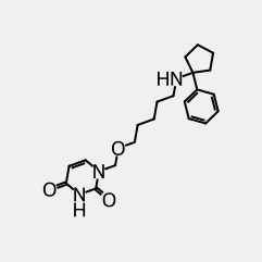 O=c1ccn(COCCCCCNC2(c3ccccc3)CCCC2)c(=O)[nH]1